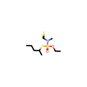 CCCC(C)SP(=O)(OCC)N(C)C=S